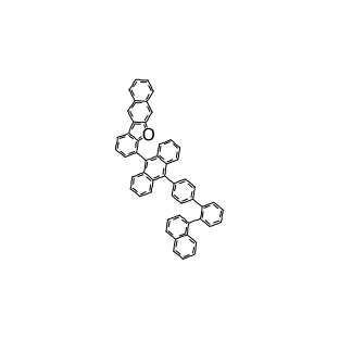 c1ccc(-c2cccc3ccccc23)c(-c2ccc(-c3c4ccccc4c(-c4cccc5c4oc4cc6ccccc6cc45)c4ccccc34)cc2)c1